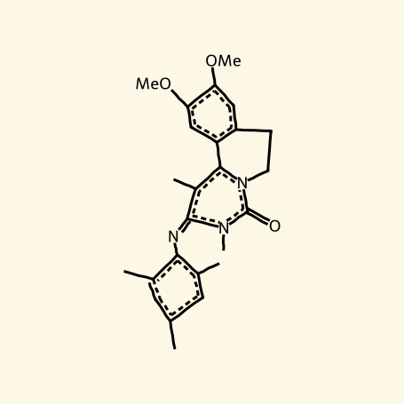 COc1cc2c(cc1OC)-c1c(C)c(=Nc3c(C)cc(C)cc3C)n(C)c(=O)n1CC2